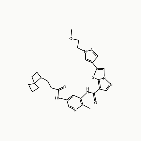 COCCn1cc(-c2cn3ncc(C(=O)Nc4cc(NC(=O)CCN5CCC56CCC6)cnc4C)c3s2)cn1